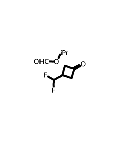 CC(C)OC=O.O=C1CC(C(F)F)C1